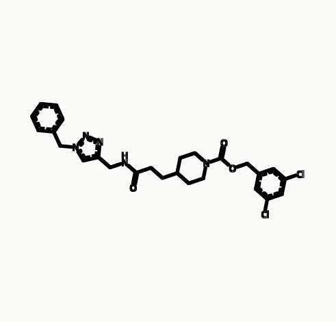 O=C(CCC1CCN(C(=O)OCc2cc(Cl)cc(Cl)c2)CC1)NCc1cn(Cc2ccccc2)nn1